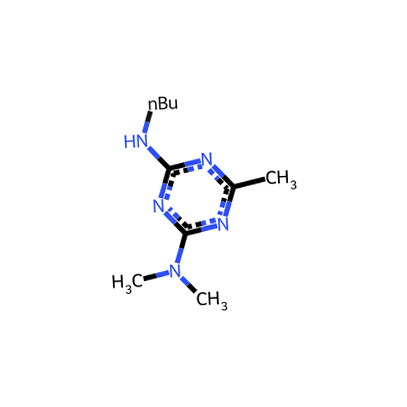 CCCCNc1nc(C)nc(N(C)C)n1